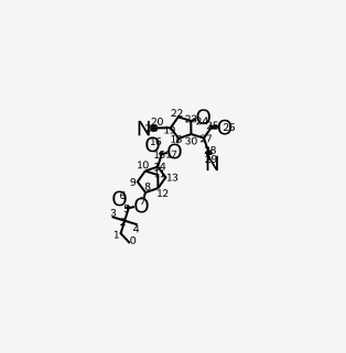 CCC(C)(C)C(=O)OC1CC2CC1CC2C(=O)OC1C(C#N)CC2OC(=O)C(C#N)C21